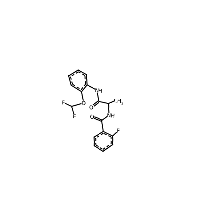 CC(NC(=O)c1ccccc1F)C(=O)Nc1ccccc1OC(F)F